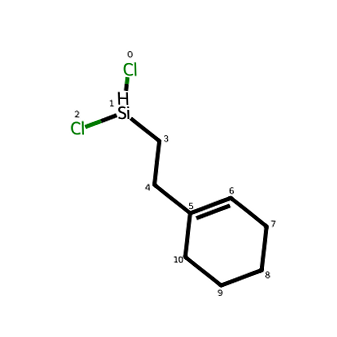 Cl[SiH](Cl)CCC1=CCCCC1